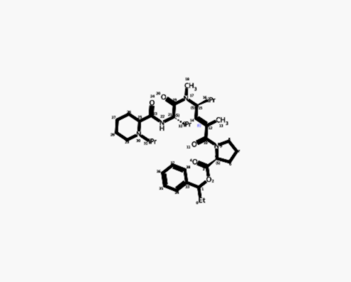 CCC(OC(=O)[C@@H]1CCCN1C(=O)/C(C)=C/[C@H](C(C)C)N(C)C(=O)[C@@H](NC(=O)C1CCCCN1C(C)C)C(C)C)c1ccccc1